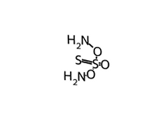 NOS(=O)(=S)ON